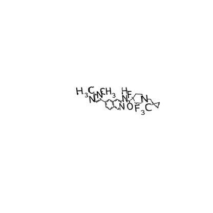 Cc1ncc(-c2ccc3cnc(NC(=O)C4(F)CCN(CC5(C(F)(F)F)CC5)CC4)cc3c2)n1C